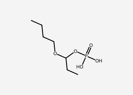 CCCCOC(CC)OP(=O)(O)O